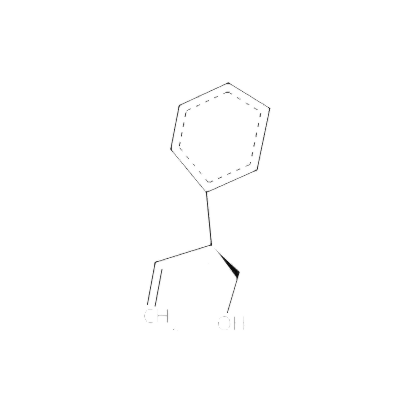 C=C[C@H](CO)c1ccccc1